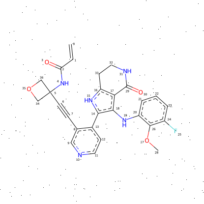 C=CC(=O)NC1(C#Cc2cnccc2-c2[nH]c3c(c2Nc2cccc(F)c2OC)C(=O)NCC3)COC1